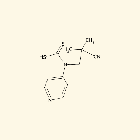 CC(C)(C#N)CN(C(=S)S)c1ccncc1